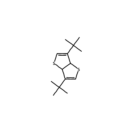 CC(C)(C)C1=CSC2C(C(C)(C)C)=CSC12